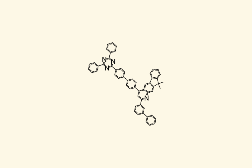 CC1(C)c2ccccc2-c2cc3c(-c4ccc(-c5ccc(-c6nc(-c7ccccc7)nc(-c7ccccc7)n6)cc5)cc4)cc(-c4cccc(-c5ccccc5)c4)nc3cc21